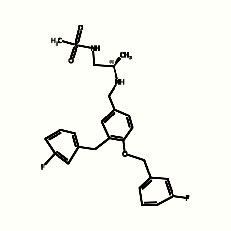 C[C@H](CNS(C)(=O)=O)NCc1ccc(OCc2cccc(F)c2)c(Cc2cccc(F)c2)c1